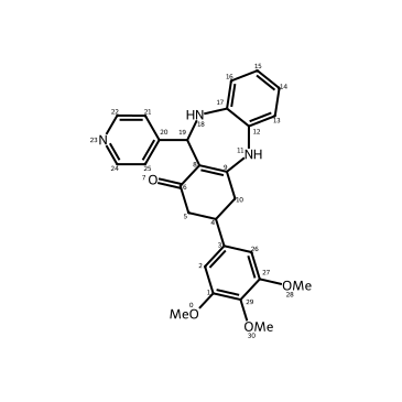 COc1cc(C2CC(=O)C3=C(C2)Nc2ccccc2NC3c2ccncc2)cc(OC)c1OC